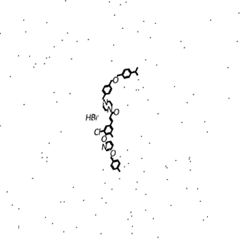 Br.Cc1ccc(COc2ccc(Oc3c(C)cc(/C=C/C(=O)N4CCN(Cc5ccc(COCc6ccc(C(C)C)cc6)cc5)CC4)cc3Cl)nc2)cc1